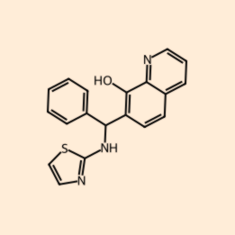 Oc1c(C(Nc2nccs2)c2ccccc2)ccc2cccnc12